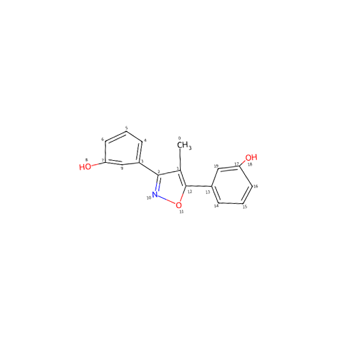 Cc1c(-c2cccc(O)c2)noc1-c1cccc(O)c1